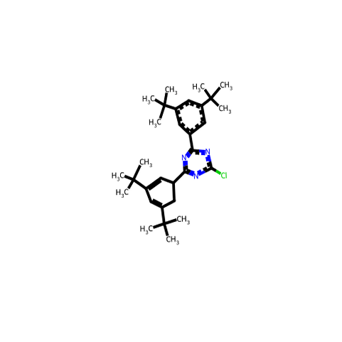 CC(C)(C)C1=CC(c2nc(Cl)nc(-c3cc(C(C)(C)C)cc(C(C)(C)C)c3)n2)CC(C(C)(C)C)=C1